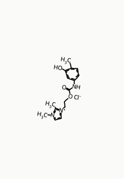 Cc1ccc(NC(=O)OCC[n+]2ccn(C)c2C)cc1O.[Cl-]